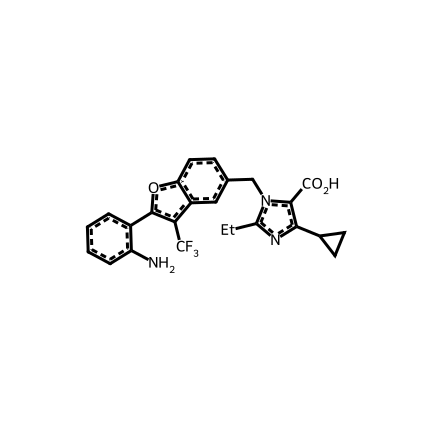 CCc1nc(C2CC2)c(C(=O)O)n1Cc1ccc2oc(-c3ccccc3N)c(C(F)(F)F)c2c1